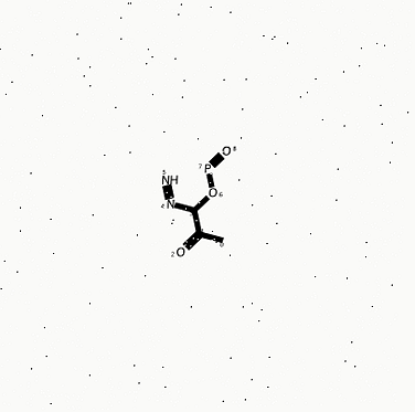 CC(=O)C(N=N)OP=O